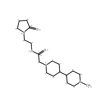 CN1CCC(C2CCN(CC(=O)OCCN3CCCC3=O)CC2)CC1